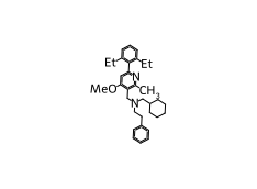 CCc1cccc(CC)c1-c1cc(OC)c(CN(CCc2ccccc2)CC2CCCCC2)c(C)n1